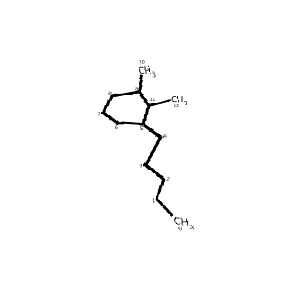 C[CH]CCCC1CCCC(C)C1C